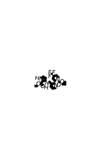 CCOC(=O)c1[nH]ccc1NCc1cccnc1[C@H]1C[C@H](C(F)(F)F)CCN1C(=O)OC(C)(C)C